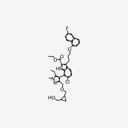 CCOC(=O)c1[nH]c2c(-c3c(COCC4CC4CO)nn(C)c3CC)c(Cl)ccc2c1CCCOc1cccc2cc(F)ccc12